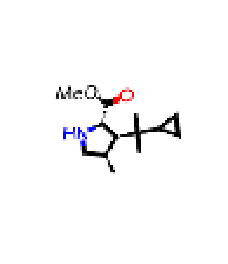 COC(=O)[C@H]1NC[C@H](C)[C@@H]1C(C)(C)C1CC1